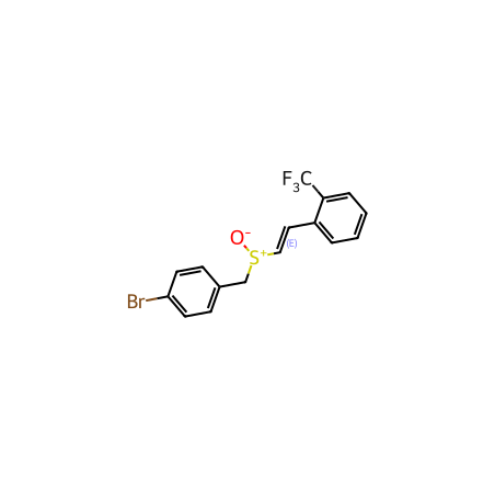 [O-][S+](/C=C/c1ccccc1C(F)(F)F)Cc1ccc(Br)cc1